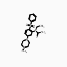 CCN(C(C)=O)c1cc(N2CCN(C)CC2)ccc1S(=O)(=O)c1ccccc1